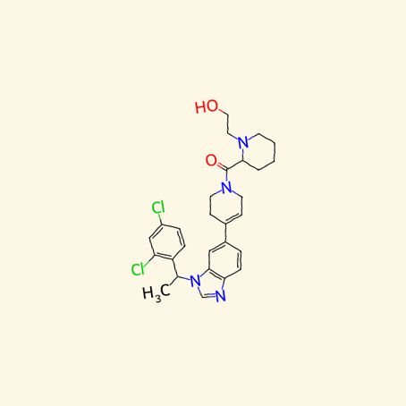 CC(c1ccc(Cl)cc1Cl)n1cnc2ccc(C3=CCN(C(=O)C4CCCCN4CCO)CC3)cc21